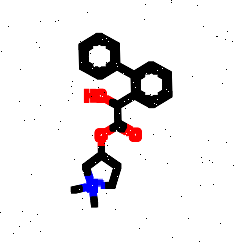 C[N+]1(C)CCC(OC(=O)C(O)c2ccccc2-c2ccccc2)C1